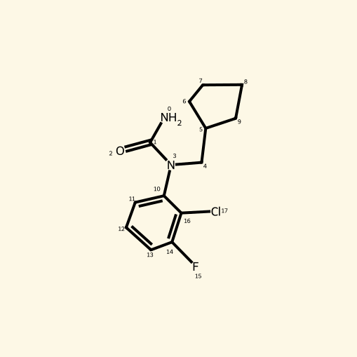 NC(=O)N(CC1CCCC1)c1cccc(F)c1Cl